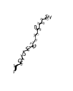 C=CCOCCOCCOC(=O)CCCCC(=O)CCCCCS